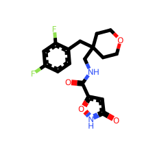 O=C(NCC1(Cc2ccc(F)cc2F)CCOCC1)c1cc(=O)[nH]o1